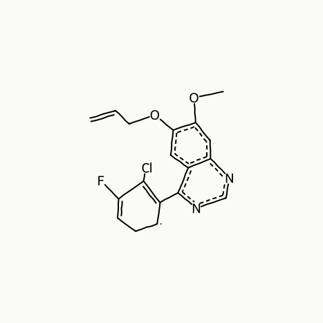 C=CCOc1cc2c(C3=C(Cl)C(F)=CC[CH]3)ncnc2cc1OC